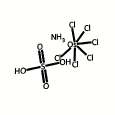 N.O=S(=O)(O)O.[Cl][Os]([Cl])([Cl])([Cl])([Cl])[Cl]